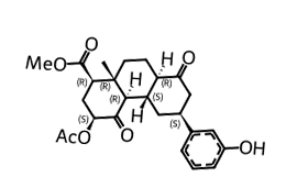 COC(=O)[C@@H]1C[C@H](OC(C)=O)C(=O)[C@@H]2[C@H]3C[C@H](c4cccc(O)c4)CC(=O)[C@@H]3CC[C@]21C